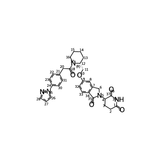 O=C1CCC(N2Cc3cc(OC[C@H]4CCCCN4C(=O)Cc4ccc(-n5cccn5)cc4)ccc3C2=O)C(=O)N1